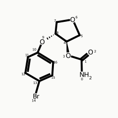 NC(=O)O[C@@H]1COC[C@H]1Oc1ccc(Br)cc1